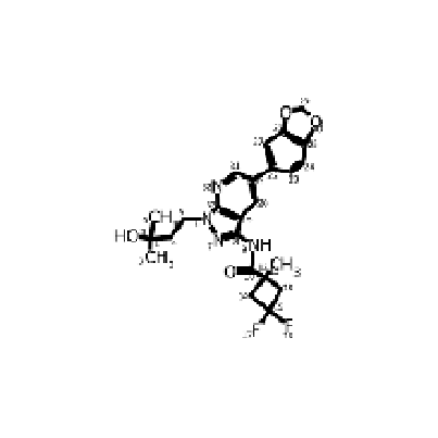 CC(C)(O)CCn1nc(NC(=O)C2(C)CC(F)(F)C2)c2cc(-c3ccc4c(c3)OCO4)cnc21